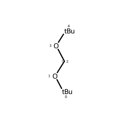 CC(C)(C)O[C]OC(C)(C)C